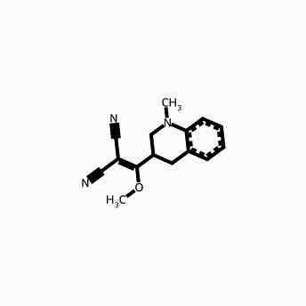 COC(=C(C#N)C#N)C1Cc2ccccc2N(C)C1